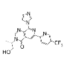 C[C@@H](CO)n1cnc2c(-n3ccnc3)nc(-c3ccc(C(F)(F)F)cn3)cc2c1=O